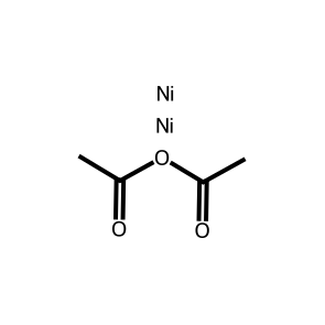 CC(=O)OC(C)=O.[Ni].[Ni]